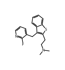 CN(C)CCc1sc2ccccc2c1Cc1cccnc1F